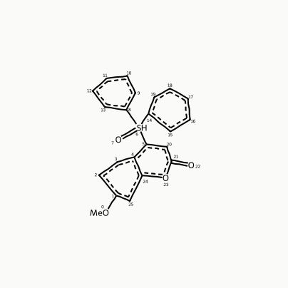 COc1ccc2c([SH](=O)(c3ccccc3)c3ccccc3)cc(=O)oc2c1